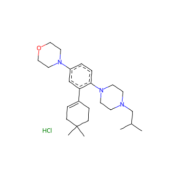 CC(C)CN1CCN(c2ccc(N3CCOCC3)cc2C2=CCC(C)(C)CC2)CC1.Cl